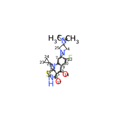 CN(C)C1CN(c2cc3c(cc2F)c(=O)c2c(=O)[nH]sc2n3C2CC2)C1